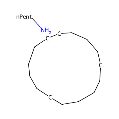 C1CCCCCCCCCCCCCC1.CCCCCN